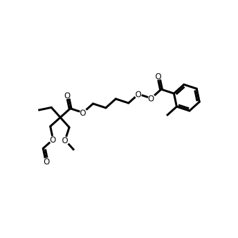 CCC(COC)(COC=O)C(=O)OCCCCOOC(=O)c1ccccc1C